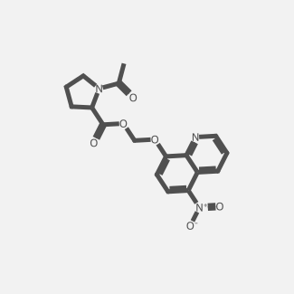 CC(=O)N1CCCC1C(=O)OCOc1ccc([N+](=O)[O-])c2cccnc12